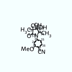 COc1cc(N2C(=O)C(C)(C)[C@@](C)(O)[C@H]2C)ccc1C#N